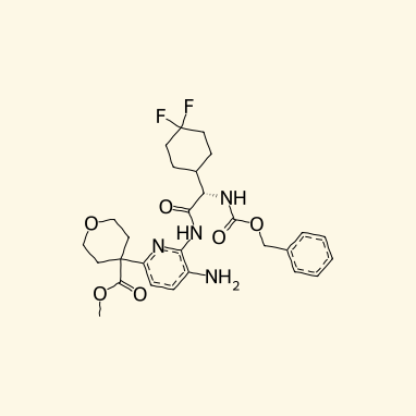 COC(=O)C1(c2ccc(N)c(NC(=O)[C@@H](NC(=O)OCc3ccccc3)C3CCC(F)(F)CC3)n2)CCOCC1